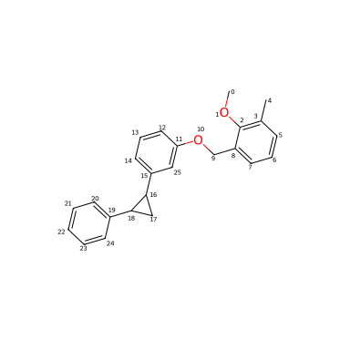 COc1c(C)cccc1COc1cccc(C2CC2c2ccccc2)c1